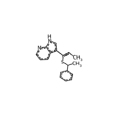 C/C=C(\SC(C)c1ccccc1)c1c[nH]c2ncccc12